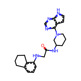 O=C(CNc1cccc2c1CCCC2)NC1CCCN(c2ncnc3[nH]ccc23)C1